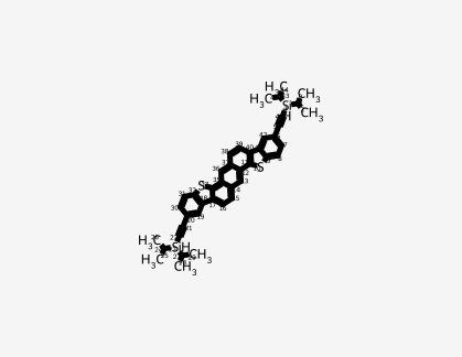 CC(C)[SiH](C#Cc1ccc2sc3c4cc5ccc6c7cc(C#C[SiH](C(C)C)C(C)C)ccc7sc6c5cc4ccc3c2c1)C(C)C